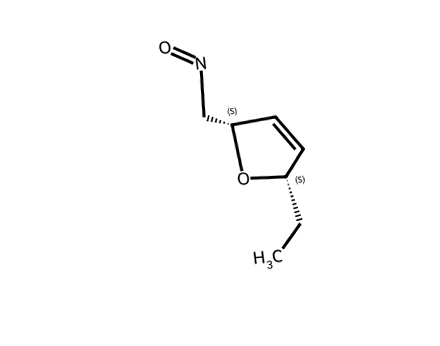 CC[C@H]1C=C[C@@H](CN=O)O1